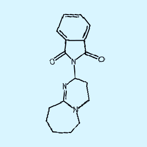 O=C1c2ccccc2C(=O)N1C1CCN2CCCCCC2=N1